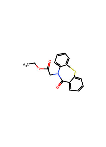 CCOC(=O)CN1C(=O)c2ccccc2Sc2ccccc21